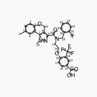 Cc1ccc2c(c1)-c1c(c(C(=O)N(CCOc3ccc(C(=O)O)cc3C(F)(F)F)Cc3ccccc3F)nn1C)CO2